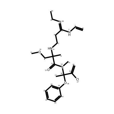 C=CN/C(CCNC(C)(COC)C(=O)N(C)C(C)(Oc1ccccc1)C(=C)Cl)=N/CC